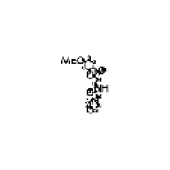 COc1ccc2c(c1)OC(CCNC(=O)CN1CCOCC1)[N+]2=O